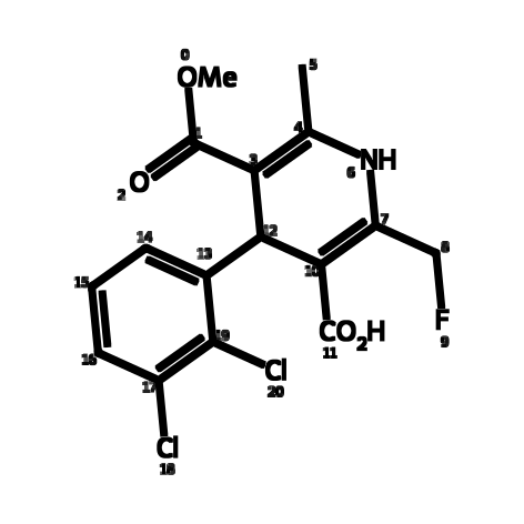 COC(=O)C1=C(C)NC(CF)=C(C(=O)O)C1c1cccc(Cl)c1Cl